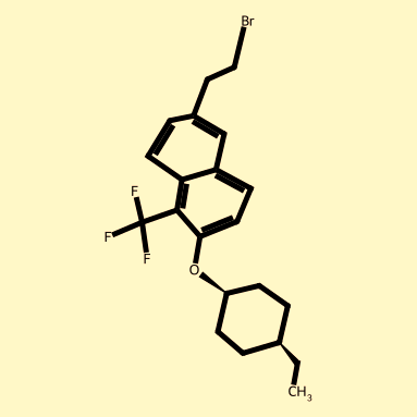 CC[C@H]1CC[C@@H](Oc2ccc3cc(CCBr)ccc3c2C(F)(F)F)CC1